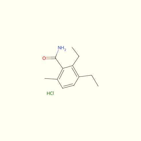 CCc1ccc(C)c(C(N)=O)c1CC.Cl